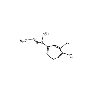 CCCCN(/N=N/C)C1=CCC=C(Cl)C(Cl)=C1